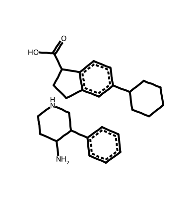 NC1CCNCC1c1ccccc1.O=C(O)C1CCc2cc(C3CCCCC3)ccc21